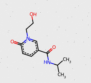 CC(C)NC(=O)c1ccc(=O)n(CCO)c1